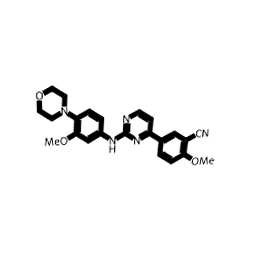 COc1ccc(-c2ccnc(Nc3ccc(N4CCOCC4)c(OC)c3)n2)cc1C#N